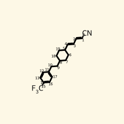 N#CC=CC=CC1CCC(CCc2ccc(C(F)(F)F)cc2)CC1